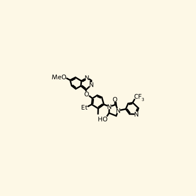 CCc1c(Oc2ncnc3cc(OC)ccc23)ccc(N2C(=O)N(c3cncc(C(F)(F)F)c3)CC2O)c1C